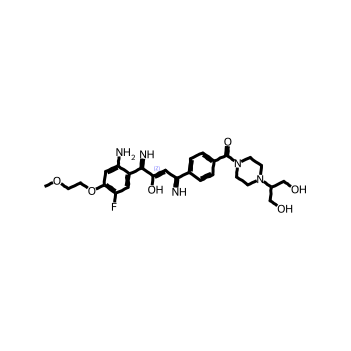 COCCOc1cc(N)c(C(=N)/C(O)=C/C(=N)c2ccc(C(=O)N3CCN(C(CO)CO)CC3)cc2)cc1F